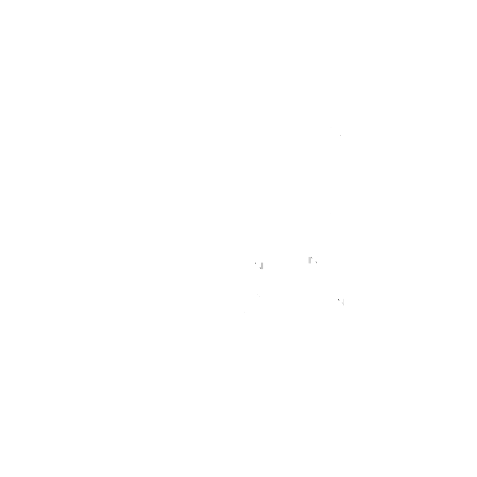 O=C(Nc1ccc(Oc2ccccc2)cc1)c1cccnc1NCc1ccc(C(F)(F)F)cc1